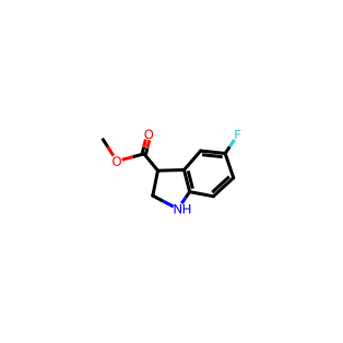 COC(=O)C1CNc2ccc(F)cc21